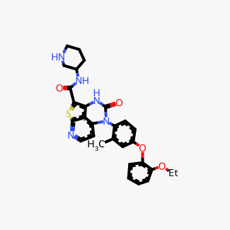 CCOc1ccccc1Oc1ccc(N2C(=O)Nc3c(C(=O)NC4CCCNC4)sc4nccc2c34)c(C)c1